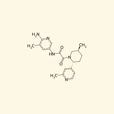 Cc1cc([C@H]2CC[C@H](C)CN2C(=O)C(=O)Nc2cnc(N)c(C)c2)ccn1